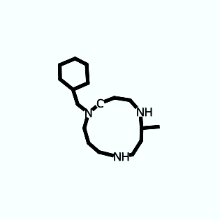 CC1CCNCCCN(CC2CCCCC2)CCCN1